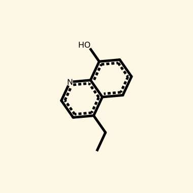 CCc1ccnc2c(O)cccc12